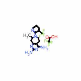 CC1Cc2nc(N)nc(N)c2CCN1c1ncccc1C(F)(F)F.O=C(O)C(F)(F)F